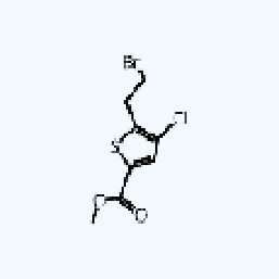 COC(=O)c1cc(Cl)c(CCBr)s1